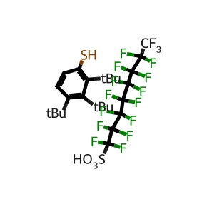 CC(C)(C)c1ccc(S)c(C(C)(C)C)c1C(C)(C)C.O=S(=O)(O)C(F)(F)C(F)(F)C(F)(F)C(F)(F)C(F)(F)C(F)(F)C(F)(F)C(F)(F)F